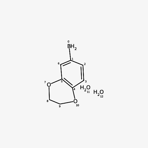 Bc1ccc2c(c1)OCCO2.O.O